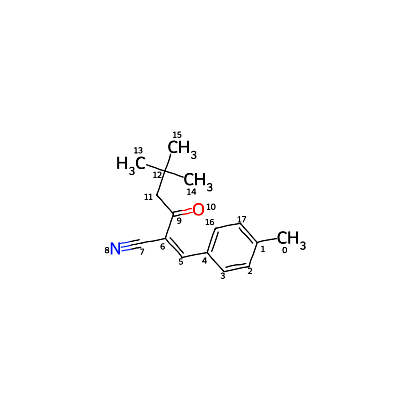 Cc1ccc(C=C(C#N)C(=O)CC(C)(C)C)cc1